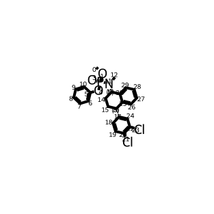 COP(=O)(Oc1ccccc1)N(C)[C@H]1CC[C@@H](c2ccc(Cl)c(Cl)c2)c2ccccc21